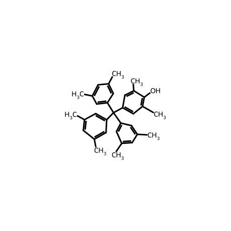 Cc1cc(C)cc(C(c2cc(C)cc(C)c2)(c2cc(C)cc(C)c2)c2cc(C)c(O)c(C)c2)c1